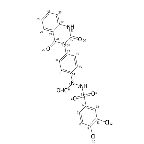 O=CN(NS(=O)(=O)c1ccc(Cl)c(Cl)c1)c1ccc(-n2c(=O)[nH]c3ccccc3c2=O)cc1